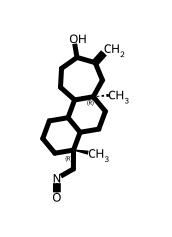 C=C1C[C@@]2(C)CCC3C(CCC[C@@]3(C)CN=O)C2CCC1O